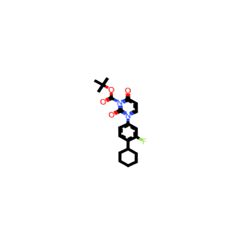 CC(C)(C)OC(=O)n1c(=O)ccn(-c2ccc(C3CCCCC3)c(F)c2)c1=O